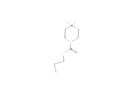 CCCNC(=O)N1CCC(F)(F)CC1